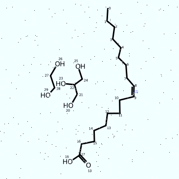 CCCCCCCC/C=C\CCCCCCCC(=O)O.OCC(O)CO.OCCO